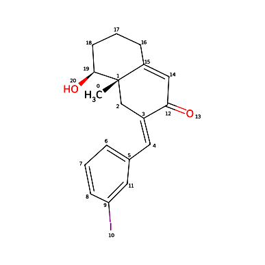 C[C@]12CC(=Cc3cccc(I)c3)C(=O)C=C1CCC[C@@H]2O